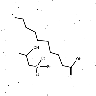 CCCCCCCCCC(=O)O.CC[N+](CC)(CC)CC(C)O